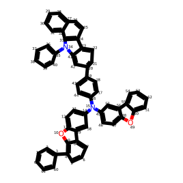 c1ccc(-c2cccc3c2oc2ccc(N(c4ccc(-c5ccc6c7ccc8ccccc8c7n(-c7ccccc7)c6c5)cc4)c4ccc5oc6ccccc6c5c4)cc23)cc1